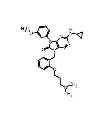 COc1cccc(-n2c(=O)n(Cc3ccccc3OCCCN(C)C)c3cnc(NC4CC4)nc32)c1